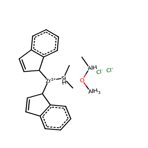 C[SiH](C)[Zr+2]([CH]1C=Cc2ccccc21)[CH]1C=Cc2ccccc21.[CH3][AlH][O][AlH2].[Cl-].[Cl-]